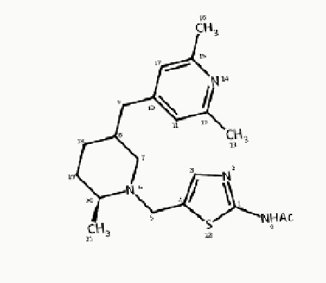 CC(=O)Nc1ncc(CN2CC(Cc3cc(C)nc(C)c3)CC[C@@H]2C)s1